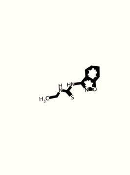 CCNC(=S)Nc1noc2ccccc12